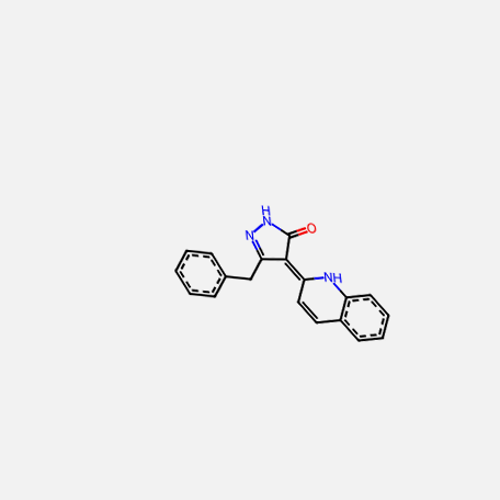 O=C1NN=C(Cc2ccccc2)/C1=C1\C=Cc2ccccc2N1